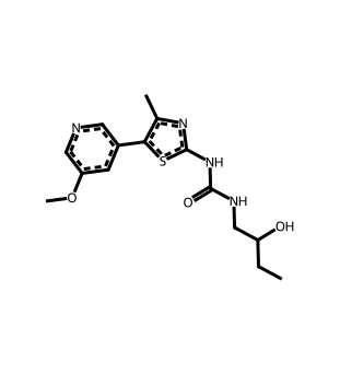 CCC(O)CNC(=O)Nc1nc(C)c(-c2cncc(OC)c2)s1